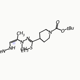 CCSC(=NN(C)/C(C)=C\NNC)C1CCN(C(=O)OC(C)(C)C)CC1